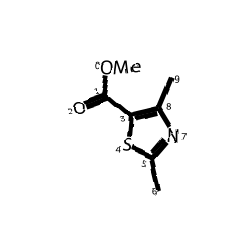 COC(=O)c1sc(C)nc1C